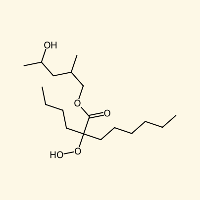 CCCCCCC(CCCC)(OO)C(=O)OCC(C)CC(C)O